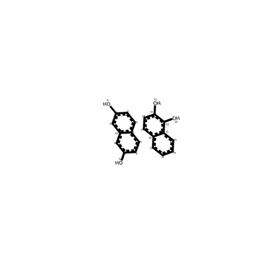 Oc1ccc2ccc(O)cc2c1.Oc1ccc2ccccc2c1O